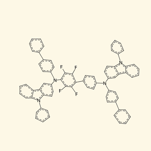 Fc1c(F)c(N(c2ccc(-c3ccccc3)cc2)c2ccc3c(c2)c2ccccc2n3-c2ccccc2)c(F)c(F)c1-c1ccc(N(c2ccc(-c3ccccc3)cc2)c2ccc3c(c2)c2ccccc2n3-c2ccccc2)cc1